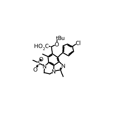 Cc1c([C@H](OC(C)(C)C)C(=O)O)c(-c2ccc(Cl)cc2)c2nc(C)n3c2c1N(S(C)(=O)=O)CC3